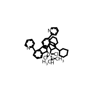 C[SiH](C)[Zr]([Cl])([Cl])([CH]1C(C2CCCCC2)=Cc2c(-c3ccccn3)cccc21)[CH]1C(C2CCCCC2)=Cc2c(-c3ccccn3)cccc21